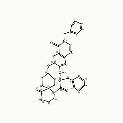 COc1cc2ncn(Cc3ccccc3)c(=O)c2cc1OC1CCC2(CC1)C(=O)NCCN2C(=O)OCc1ccccc1